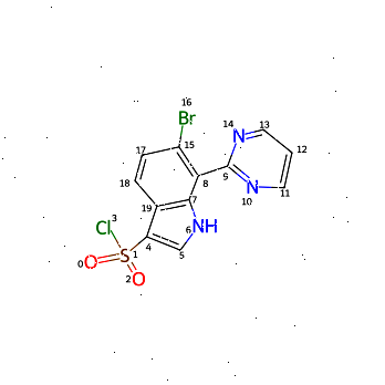 O=S(=O)(Cl)c1c[nH]c2c(-c3ncccn3)c(Br)ccc12